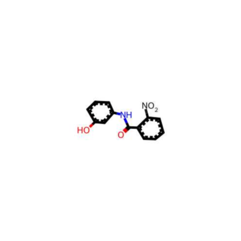 O=C(Nc1cccc(O)c1)c1ccccc1[N+](=O)[O-]